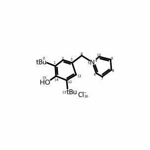 CC(C)(C)c1cc(C[n+]2ccccc2)cc(C(C)(C)C)c1O.[Cl-]